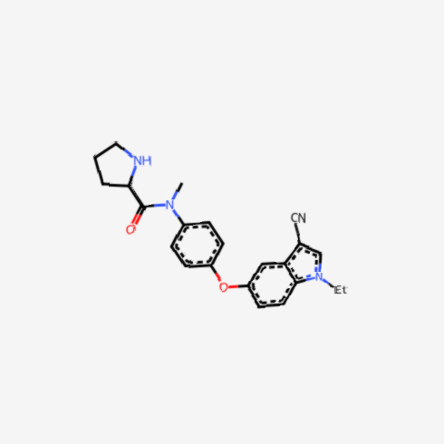 CCn1cc(C#N)c2cc(Oc3ccc(N(C)C(=O)C4CCCN4)cc3)ccc21